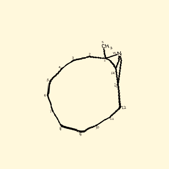 CC12CCCCCCCCCCCC3C1N32